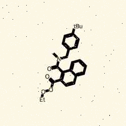 CCOOC(=O)c1ccc2ccccc2c1C(=O)N(C)Cc1ccc(C(C)(C)C)cc1